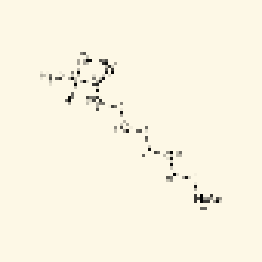 CCCCCCC(C)(CCCCCC)C(=O)CCOCCOCCNC